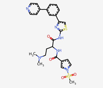 CN(C)CCC(NC(=O)c1ccn(S(C)(=O)=O)c1)C(=O)Nc1nc(-c2cccc(-c3ccncc3)c2)cs1